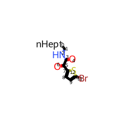 CCCCCCCCNC(=O)C(=O)c1ccc(Br)s1